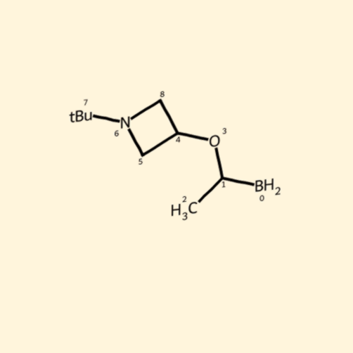 BC(C)OC1CN(C(C)(C)C)C1